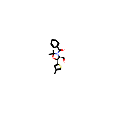 Cc1csc([C@H]2OC(C)(C)N(C(=O)c3ccccc3)[C@H]2C=O)c1